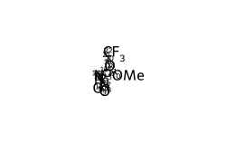 COCc1cc2c(N3CCOC3=O)nn(C)c2cc1OCCCC(F)(F)F